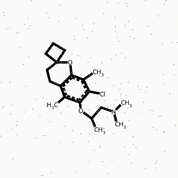 Cc1c2c(c(C)c(Cl)c1OC(C)CN(C)C)OC1(CCC1)CC2